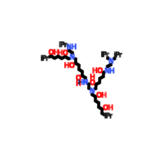 CC(C)CC(O)CCCC(O)CN(CCNCC(O)CCCC(O)CN(CCNC(C)C)CC(O)CCCC(O)C(C)C)CC(O)CCCC(O)NCCN(CC(C)C)CC(C)C